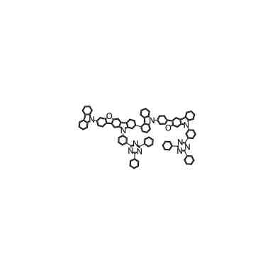 c1ccc(-c2nc(-c3ccccc3)nc(-c3cccc(-n4c5ccccc5c5cc6c(cc54)oc4cc(-n5c7ccccc7c7c(-c8ccc9c%10cc%11oc%12cc(-n%13c%14ccccc%14c%14ccccc%14%13)ccc%12c%11cc%10n(-c%10cccc(-c%11nc(-c%12ccccc%12)nc(-c%12ccccc%12)n%11)c%10)c9c8)cccc75)ccc46)c3)n2)cc1